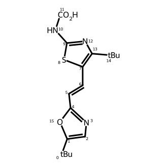 CC(C)(C)c1cnc(C=Cc2sc(NC(=O)O)nc2C(C)(C)C)o1